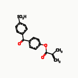 C=C(C)C(=O)Oc1ccc(C(=O)c2ccc(S(=O)(=O)O)cc2)cc1